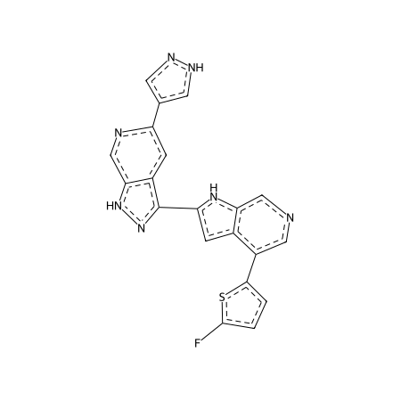 Fc1ccc(-c2cncc3[nH]c(-c4n[nH]c5cnc(-c6cn[nH]c6)cc45)cc23)s1